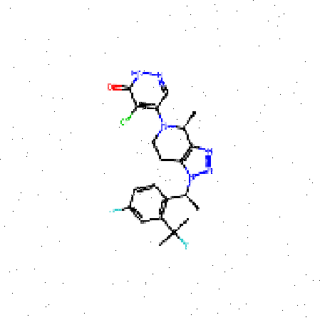 C[C@H]1c2nnn([C@@H](C)c3ccc(F)cc3C(C)(C)F)c2CCN1c1cn[nH]c(=O)c1Cl